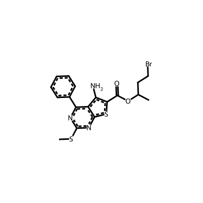 CSc1nc(-c2ccccc2)c2c(N)c(C(=O)OC(C)CCBr)sc2n1